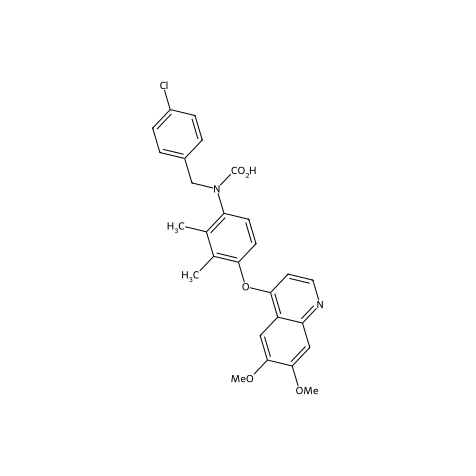 COc1cc2nccc(Oc3ccc(N(Cc4ccc(Cl)cc4)C(=O)O)c(C)c3C)c2cc1OC